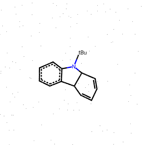 CC(C)(C)N1c2ccccc2C2C=CC=CC21